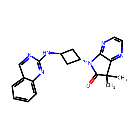 CC1(C)C(=O)N([C@H]2C[C@H](Nc3ncc4ccccc4n3)C2)c2nccnc21